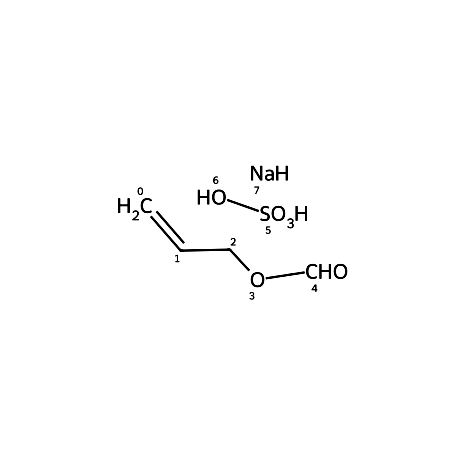 C=CCOC=O.O=S(=O)(O)O.[NaH]